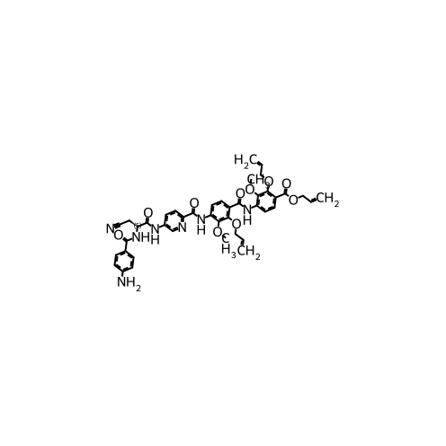 C=CCOC(=O)c1ccc(NC(=O)c2ccc(NC(=O)c3ccc(NC(=O)[C@H](CC#N)NC(=O)c4ccc(N)cc4)cn3)c(OC)c2OCC=C)c(OC)c1OCC=C